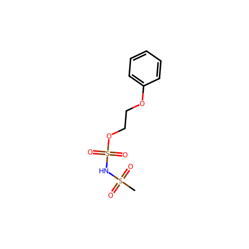 CS(=O)(=O)NS(=O)(=O)OCCOc1ccccc1